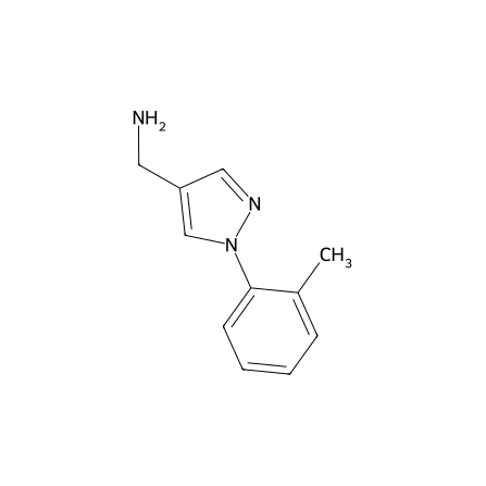 Cc1ccccc1-n1cc(CN)cn1